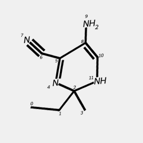 CCC1(C)N=C(C#N)C(N)=CN1